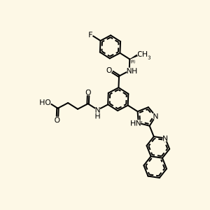 C[C@@H](NC(=O)c1cc(NC(=O)CCC(=O)O)cc(-c2cnc(-c3cc4ccccc4cn3)[nH]2)c1)c1ccc(F)cc1